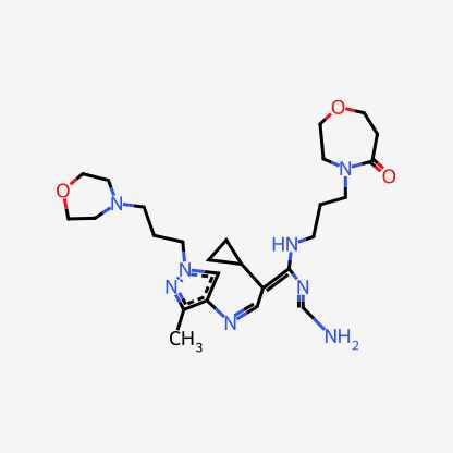 Cc1nn(CCCN2CCOCC2)cc1\N=C/C(=C(\N=C\N)NCCCN1CCOCCC1=O)C1CC1